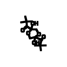 CC(C)(C)C(=O)C1(O)COC(O)(C(=O)C(C)(C)C)CO1